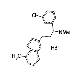 Br.CNC(CCc1ccc2c(C)cccc2c1)c1cccc(Cl)c1